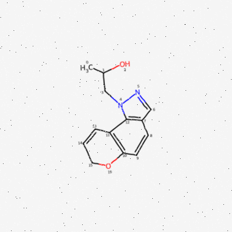 CC(O)Cn1ncc2ccc3c(c21)C=CCO3